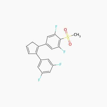 CS(=O)(=O)c1c(F)cc(C2=C(c3cc(F)cc(F)c3)C=CC2)cc1F